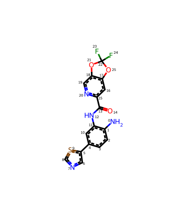 Nc1ccc(-c2cncs2)cc1NC(=O)c1cc2c(cn1)OC(F)(F)O2